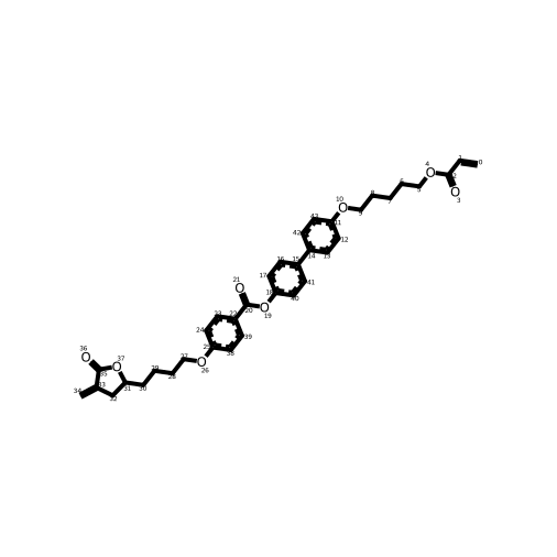 C=CC(=O)OCCCCCOc1ccc(-c2ccc(OC(=O)c3ccc(OCCCCC4CC(=C)C(=O)O4)cc3)cc2)cc1